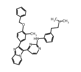 Cc1cc(-c2nc3ccccn3c2-c2ccnc(Nc3cccc(CCN(C)C)c3)n2)ccc1OCc1ccccc1